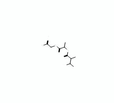 CC(=O)C(C)C(C)C(=O)NC(C)C(=O)NCC(N)=O